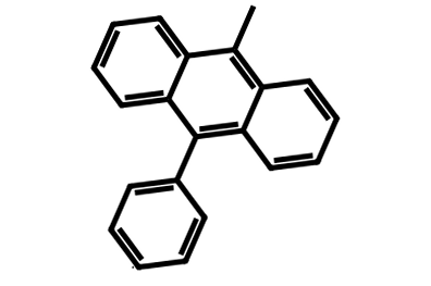 Cc1c2ccccc2c(-c2cc[c]cc2)c2ccccc12